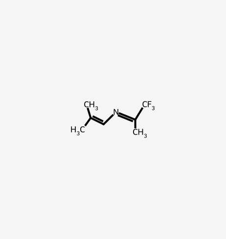 CC(C)=C/N=C(\C)C(F)(F)F